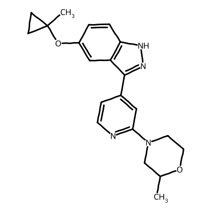 CC1CN(c2cc(-c3n[nH]c4ccc(OC5(C)CC5)cc34)ccn2)CCO1